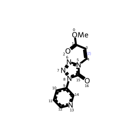 COC(=O)/C=C\n1nnn(-c2cccnc2)c1=O